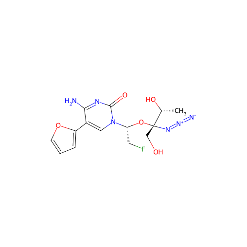 C[C@@H](O)[C@](CO)(N=[N+]=[N-])O[C@H](CF)n1cc(-c2ccco2)c(N)nc1=O